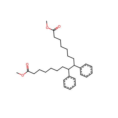 COC(=O)CCCCCCC(c1ccccc1)C(CCCCCCC(=O)OC)c1ccccc1